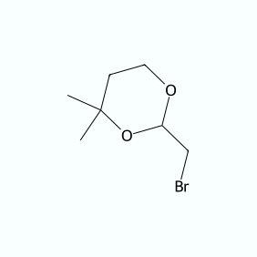 CC1(C)CCOC(CBr)O1